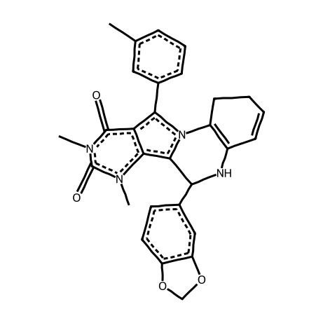 Cc1cccc(-c2c3c(=O)n(C)c(=O)n(C)c3c3n2C2=C(C=CCC2)NC3c2ccc3c(c2)OCO3)c1